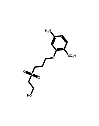 Nc1ccc(S(=O)(=O)O)c(OCCCS(=O)(=O)CCO)c1